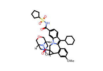 COc1ccc2c(c1)C1CC1(C(=O)N1[C@@H]3COC[C@H]1CN(C)C3)Cn1c-2c(C2CCCCC2)c2ccc(C(=O)NS(=O)(=O)C3CCCC3)cc21